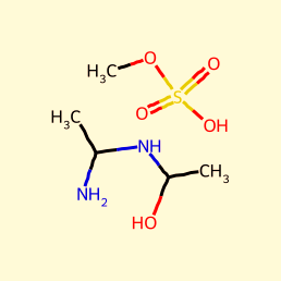 CC(N)NC(C)O.COS(=O)(=O)O